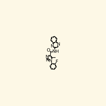 Cc1c(C(=O)Nc2cnc3ccccc3n2)nnn1-c1ccccc1F